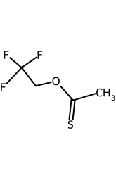 CC(=S)OCC(F)(F)F